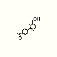 C[S+]([O-])c1ccc(-c2nccc(CO)n2)cc1